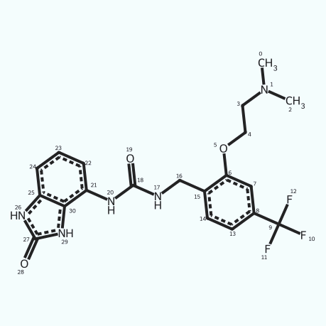 CN(C)CCOc1cc(C(F)(F)F)ccc1CNC(=O)Nc1cccc2[nH]c(=O)[nH]c12